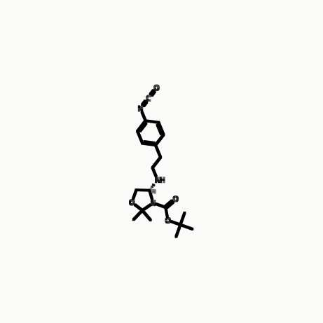 CC(C)(C)OC(=O)N1[C@@H](NCCc2ccc(N=C=O)cc2)COC1(C)C